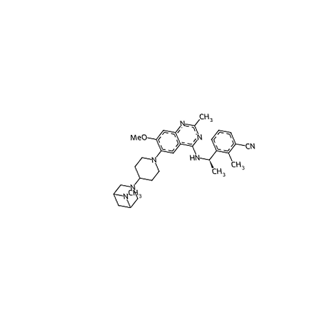 COc1cc2nc(C)nc(N[C@H](C)c3cccc(C#N)c3C)c2cc1N1CCC(N2CC3CC(C2)N3C)CC1